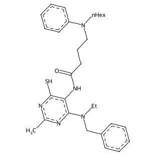 CCCCCCN(CCCC(=O)Nc1c(S)nc(C)nc1N(CC)Cc1ccccc1)c1ccccc1